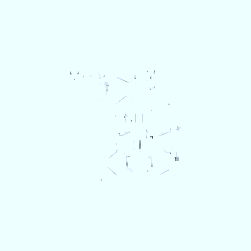 COc1cc(CNC(=O)c2c(-c3ccc(C)cc3)c3cccnc3c(=O)n2CCC(C)CO)cc(OC)c1